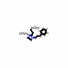 CCCCCCCCCCCCc1n(CCCCCCCCCC)cc[n+]1CCCc1ccccc1